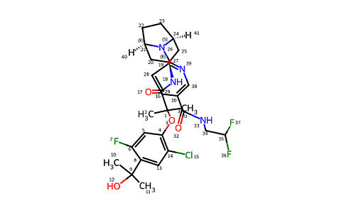 CC(C)(Oc1cc(F)c(C(C)(C)O)cc1Cl)C(=O)N[C@H]1C[C@H]2CC[C@@H](C1)N2c1ccc(C(=O)NCC(F)F)cn1